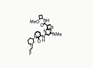 CNc1cc(Nc2cccn([C@H]3CCCN(CCF)C3)c2=O)nc2c(C(=O)N[C@H]3CC[C@@H]3OC)cnn12